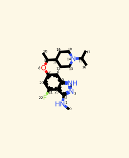 CNc1n[nH]c2cc(OC(C)C3CCN(C(C)C)CC3)cc(F)c12